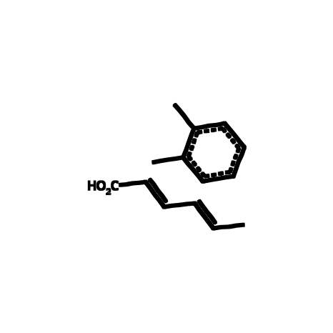 CC=CC=CC(=O)O.Cc1ccccc1C